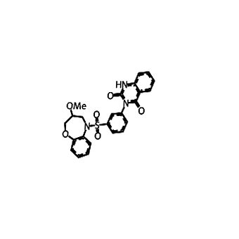 COC1COc2ccccc2N(S(=O)(=O)c2cccc(-n3c(=O)[nH]c4ccccc4c3=O)c2)C1